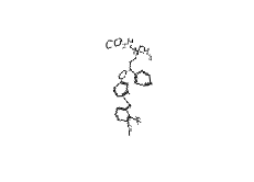 CN(CCC(Oc1ccc(Cc2cccc(F)c2F)cc1)c1ccccc1)CC(=O)O